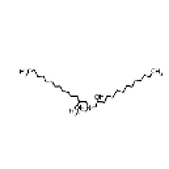 CCCCCCCCCCCCC(O)CN(CC)CC(O)CCCCCCCCCCCC